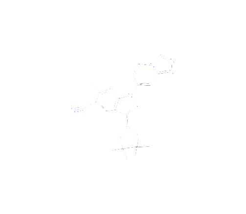 Cc1cc2c(cc1C#N)c(B1OC(C)(C)C(C)(C)O1)cn2-c1ccn2cnnc2c1